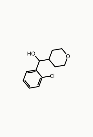 OC(c1ccccc1Cl)C1CCOCC1